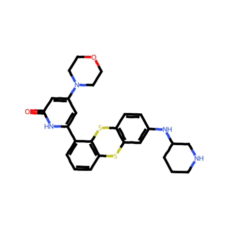 O=c1cc(N2CCOCC2)cc(-c2cccc3c2Sc2ccc(NC4CCCNC4)cc2S3)[nH]1